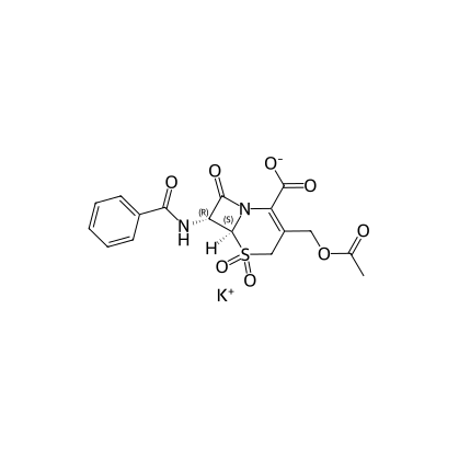 CC(=O)OCC1=C(C(=O)[O-])N2C(=O)[C@@H](NC(=O)c3ccccc3)[C@@H]2S(=O)(=O)C1.[K+]